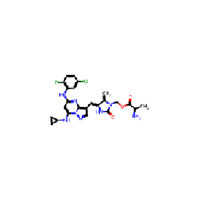 C=c1/c(=C/c2cnn3c(NC4CC4)cc(Nc4cc(Cl)ccc4F)nc23)[nH]c(=O)n1COC(=O)C(C)N